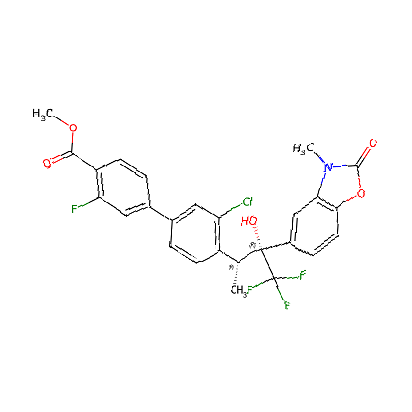 COC(=O)c1ccc(-c2ccc([C@@H](C)[C@@](O)(c3ccc4oc(=O)n(C)c4c3)C(F)(F)F)c(Cl)c2)cc1F